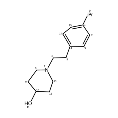 CC(C)c1ccc(CCN2CCC(O)CC2)cc1